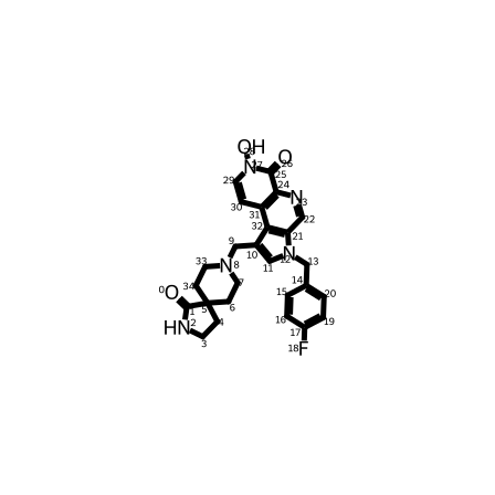 O=C1NCCC12CCN(Cc1cn(Cc3ccc(F)cc3)c3cnc4c(=O)n(O)ccc4c13)CC2